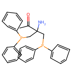 CC(=O)C(N)(CP(c1ccccc1)c1ccccc1)CP(c1ccccc1)c1ccccc1